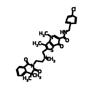 Cc1c(CN(C)CCN2C(=O)c3ccccc3C(C)(C)C2=O)sc2c(=O)c(C(=O)NCc3ccc(Cl)cc3)cn(C)c12